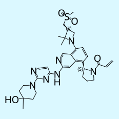 C=CC(=O)N1CCC[C@H]1c1ccc(N2C[C@H](CS(C)(=O)=O)C2(C)C)c2cnc(Nc3ccnc(N4CCC(C)(O)CC4)n3)cc12